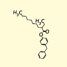 CCCCCCCCC(CC)C(=O)Oc1ccc(Cc2ccccc2)cc1